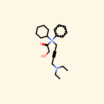 CCN(CC)CC#CC[N+](C(=O)CO)(c1ccccc1)C1CCCCC1